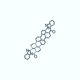 O=C1C2C=CC3=C4C2=C(C=CC4c2ccc4c5ccc6c7c(ccc(c8ccc3c2c84)c57)c(=O)n2c3ccccc3nc62)c2nc3ccccc3n21